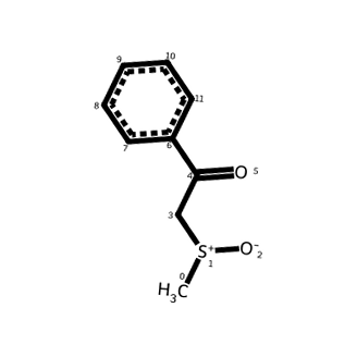 C[S+]([O-])CC(=O)c1ccccc1